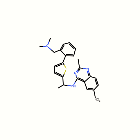 Cc1nc(NC(C)c2ccc(-c3ccccc3CN(C)C)s2)c2cc([N+](=O)[O-])ccc2n1